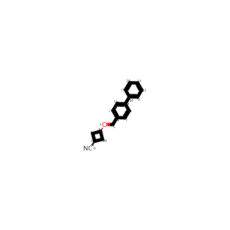 N#C[C@H]1C[C@H](OCc2ccc(-c3ccccc3)cc2)C1